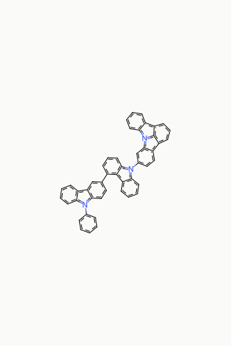 c1ccc(-n2c3ccccc3c3cc(-c4cccc5c4c4ccccc4n5-c4ccc5c6cccc7c8ccccc8n(c5c4)c76)ccc32)cc1